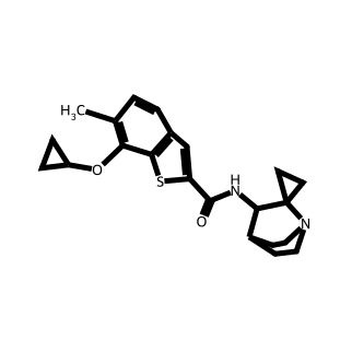 Cc1ccc2cc(C(=O)NC3C4CCN(CC4)C34CC4)sc2c1OC1CC1